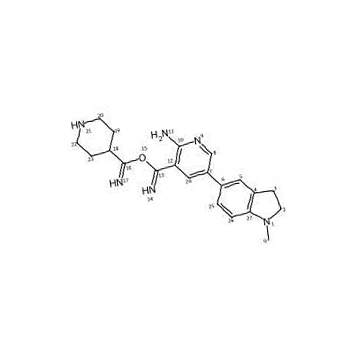 CN1CCc2cc(-c3cnc(N)c(C(=N)OC(=N)C4CCNCC4)c3)ccc21